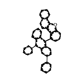 c1ccc(-c2ccc3c(-c4cccc5oc6c7ccccc7ccc6c45)c4ccccc4c(-c4ccccc4)c3c2)cc1